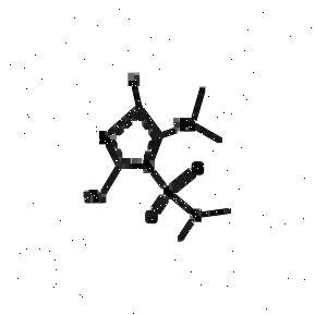 [Li][c]1nc(C(C)(C)C)n(S(=O)(=O)N(C)C)c1[SiH](C)C